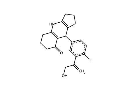 C=C(CO)c1cc(C2C3=C(CCS3)NC3=C2C(=O)CCC3)ccc1F